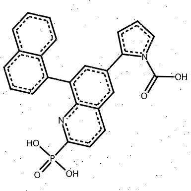 O=C(O)n1cccc1-c1cc(-c2cccc3ccccc23)c2nc(P(=O)(O)O)ccc2c1